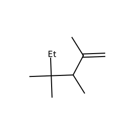 C=C(C)C(C)C(C)(C)CC